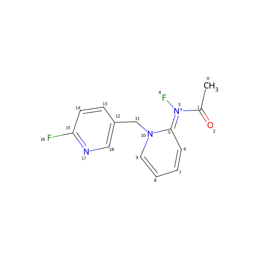 CC(=O)[N+](F)=c1ccccn1Cc1ccc(F)nc1